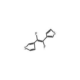 FC(=C(F)c1ccsc1)c1ccsc1